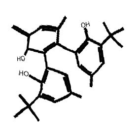 C=C1C=C(C)C(c2cc(C)cc(C(C)(C)C)c2O)=C(c2cc(C)cc(C(C)(C)C)c2O)C1O